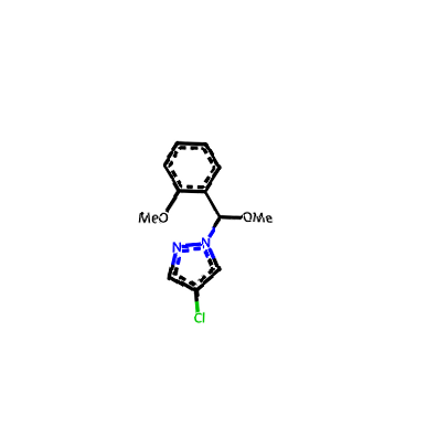 COc1ccccc1C(OC)n1cc(Cl)cn1